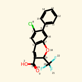 O=C(O)C1=Cc2cc(Cl)c(-c3ccccc3)cc2OC1C(F)(F)F